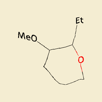 [CH2]CC1OCCCC1OC